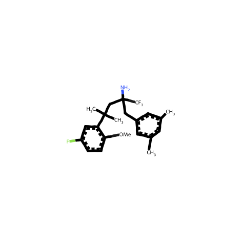 COc1ccc(F)cc1C(C)(C)CC(N)(Cc1cc(C)cc(C)c1)C(F)(F)F